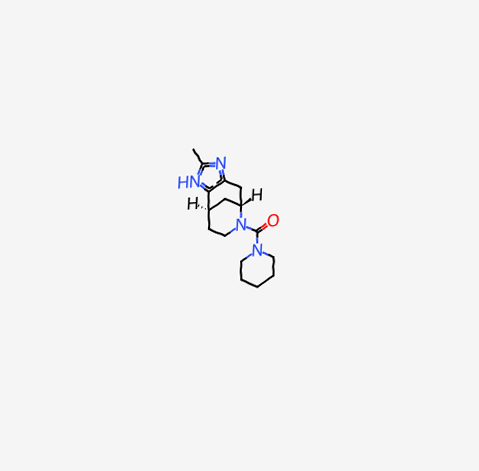 Cc1nc2c([nH]1)[C@@H]1CCN(C(=O)N3CCCCC3)[C@@H](C2)C1